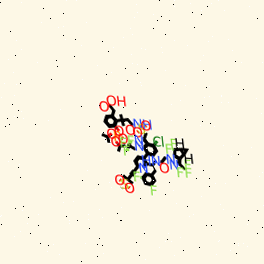 CC(C)OP(=O)(Oc1cccc(CC(=O)O)c1C(C)(C)CC(=O)NS(=O)(=O)Cc1nn(CC(F)(F)F)c2c(-c3ccc(C#CC(C)(C)S(C)(=O)=O)nc3[C@H](Cc3cc(F)cc(F)c3)NC(=O)Cn3nc(C(F)(F)F)c4c3C(F)(F)[C@@H]3C[C@H]43)ccc(Cl)c12)OC(C)C